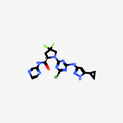 O=C(Nc1cnccn1)[C@@H]1CC(F)(F)CN1c1nc(Cl)nc(Nc2cc(C3CC3)[nH]n2)n1